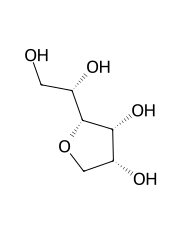 OC[C@H](O)[C@H]1OC[C@@H](O)[C@H]1O